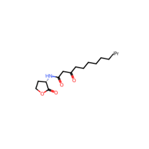 CC(C)CCCCCCC(=O)CC(=O)N[C@H]1CCOC1=O